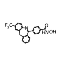 O=C(NO)c1ccc(C2=Nc3ccc(C(F)(F)F)cc3Cc3ccccc32)cc1